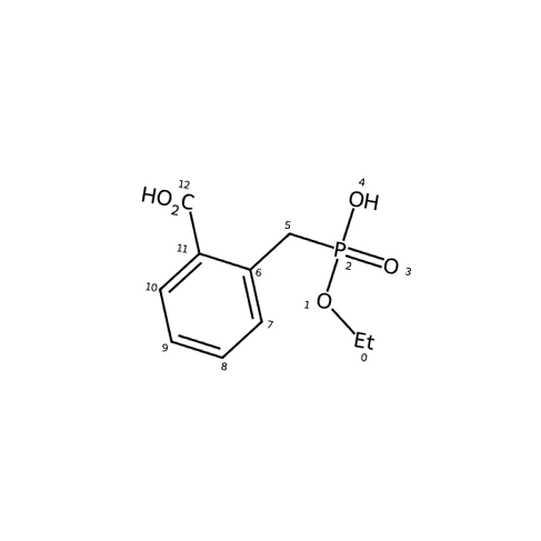 CCOP(=O)(O)Cc1ccccc1C(=O)O